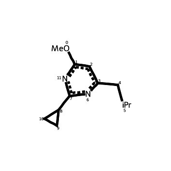 COc1cc(CC(C)C)nc(C2CC2)n1